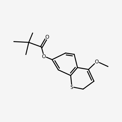 COC1=CCSc2cc(OC(=O)C(C)(C)C)ccc21